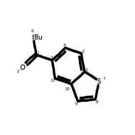 CC(C)(C)C(=O)c1ccc2sccc2c1